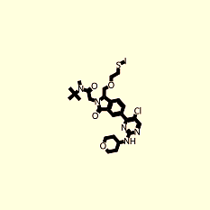 CN(C(=O)CN1C(=O)c2cc(-c3nc(NC4CCOCC4)ncc3Cl)ccc2C1COCCSI)C(C)(C)C